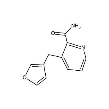 NC(=O)c1ncccc1Cc1ccoc1